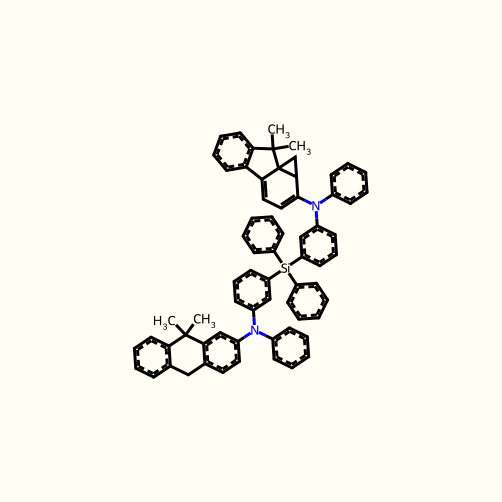 CC1(C)c2ccccc2Cc2ccc(N(c3ccccc3)c3cccc([Si](c4ccccc4)(c4ccccc4)c4cccc(N(C5=CC=C6c7ccccc7C(C)(C)C67CC57)c5ccccc5)c4)c3)cc21